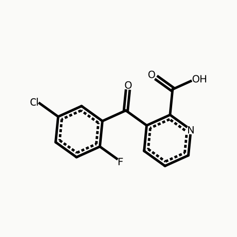 O=C(c1cc(Cl)ccc1F)c1cccnc1C(=O)O